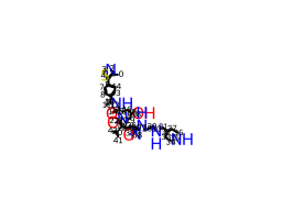 Cc1ncsc1-c1ccc([C@H](C)NC(=O)[C@@H]2C[C@@H](O)CN2C(=O)[C@@H](c2cc(NCCNCC3CCNCC3)no2)C(C)C)cc1